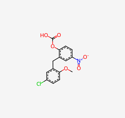 COc1ccc(Cl)cc1Cc1cc([N+](=O)[O-])ccc1OC(=O)O